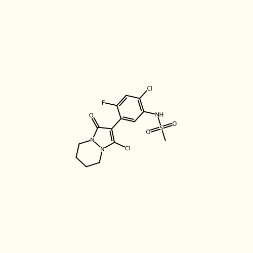 CS(=O)(=O)Nc1cc(-c2c(Cl)n3n(c2=O)CCCC3)c(F)cc1Cl